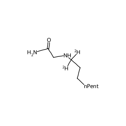 [2H]C([2H])(CCCCCCC)NCC(N)=O